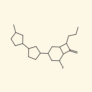 C=C1C(CCC)C2CC(C3CCC(C4CCC(C)C4)C3)CC(F)C12